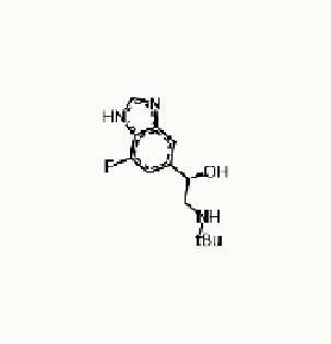 CC(C)(C)NC[C@H](O)c1cc(F)c2[nH]cnc2c1